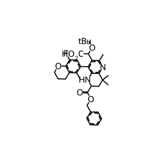 Cc1nc2c(c(-c3cc(F)c4c(c3C)CCCO4)c1C(OC(C)(C)C)C(=O)O)NC(C(=O)OCc1ccccc1)CC2(C)C